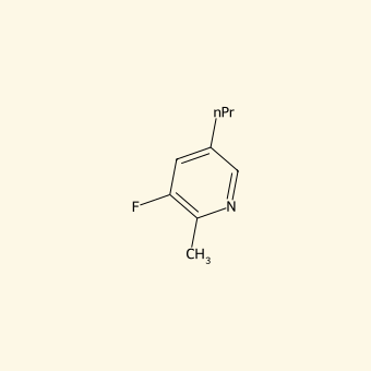 CCCc1cnc(C)c(F)c1